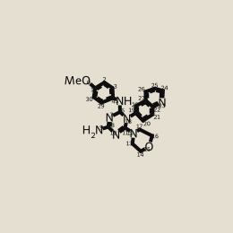 COc1ccc(NC2N=C(N)N=C(N3CCOCC3)N2c2ccc3ncccc3c2)cc1